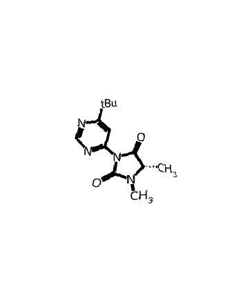 C[C@H]1C(=O)N(c2cc(C(C)(C)C)ncn2)C(=O)N1C